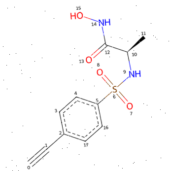 C#Cc1ccc(S(=O)(=O)N[C@H](C)C(=O)NO)cc1